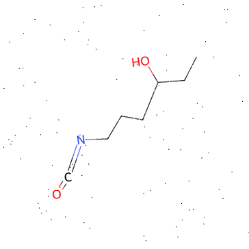 CCC(O)CCCN=C=O